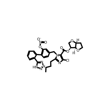 CCCCc1nc(Cl)c(C(=O)O[C@H]2CO[C@H]3CCO[C@H]32)n1Cc1ccc(-c2ccccc2-c2nnn[nH]2)c(O[N+](=O)[O-])c1